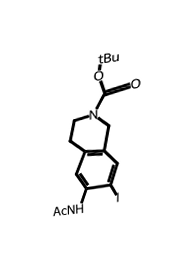 CC(=O)Nc1cc2c(cc1I)CN(C(=O)OC(C)(C)C)CC2